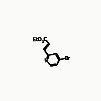 CCOC(=O)/C=C/c1cc(Br)ccn1